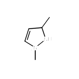 CC1C=CN(C)N1